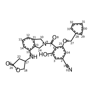 N#Cc1cc(O)c(C(=O)N2Cc3cccc(NC4COC(=O)C4)c3C2)c(OCc2ccccc2)c1